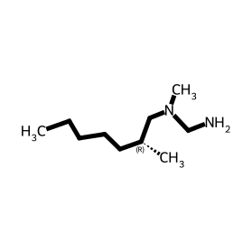 CCCCC[C@@H](C)CN(C)CN